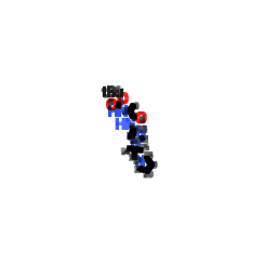 CC(NC(=O)OC(C)(C)C)C(=O)Nc1cn(C(C)(C)CN2CCCC2)cn1